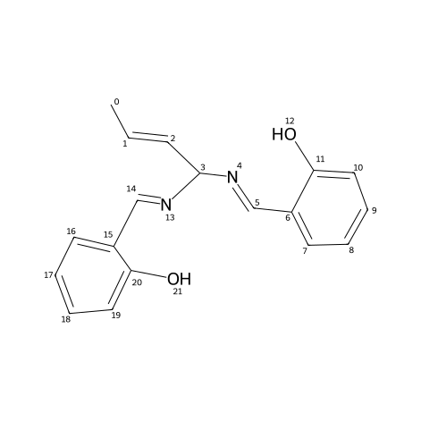 CC=CC(N=Cc1ccccc1O)N=Cc1ccccc1O